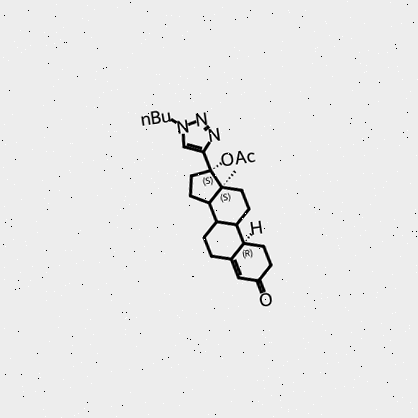 CCCCn1cc([C@]2(OC(C)=O)CCC3C4CCC5=CC(=O)CC[C@@H]5C4CC[C@@]32C)nn1